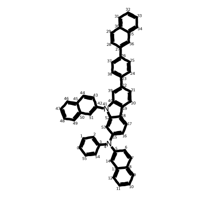 c1ccc(N(c2ccc3ccccc3c2)c2ccc3c4ccc(-c5ccc(-c6ccc7ccccc7c6)cc5)cc4n(-c4ccc5ccccc5c4)c3c2)cc1